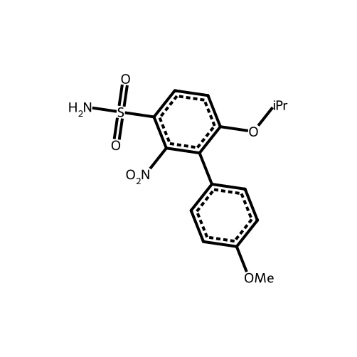 COc1ccc(-c2c(OC(C)C)ccc(S(N)(=O)=O)c2[N+](=O)[O-])cc1